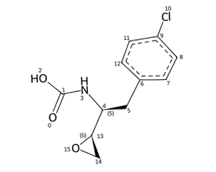 O=C(O)N[C@@H](Cc1ccc(Cl)cc1)[C@H]1CO1